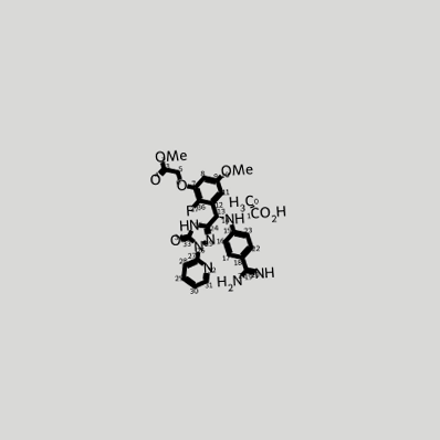 CC(=O)O.COC(=O)COc1cc(OC)cc([C@H](Nc2ccc(C(=N)N)cc2)c2nn(-c3ccccn3)c(=O)[nH]2)c1F